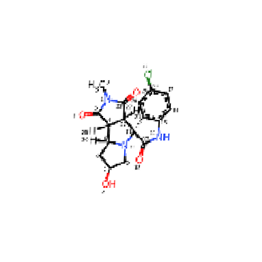 CN1C(=O)[C@H]2[C@H]3C[C@H](O)CN3[C@]3(C(=O)Nc4ccc(Cl)cc43)[C@H]2C1=O